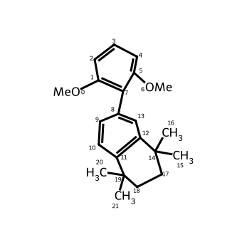 COc1cccc(OC)c1-c1ccc2c(c1)C(C)(C)CCC2(C)C